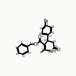 CC1=C(C(=O)OCc2ccccc2)C(c2ccc(Br)cc2)CC(=O)N1